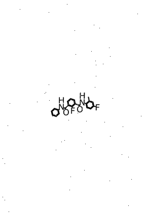 Cc1cc(F)ccc1NC(=O)c1cccc(C(=O)Nc2ccccc2)c1F